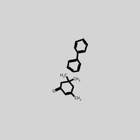 CC1=CC(=O)CC(C)(C)C1.c1ccc(-c2ccccc2)cc1